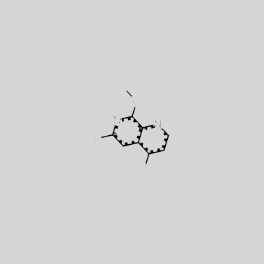 COc1nc(F)cc2c(Cl)ccnc12